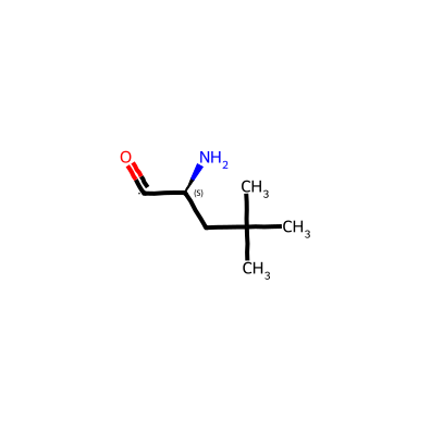 CC(C)(C)C[C@H](N)[C]=O